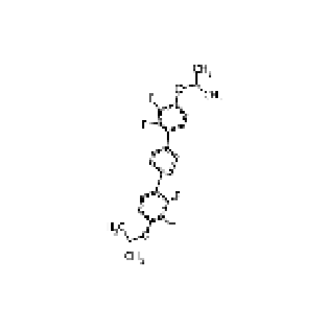 CC(C)Oc1ccc(-c2ccc(-c3ccc(OC(C)C)c(F)c3F)cc2)c(F)c1F